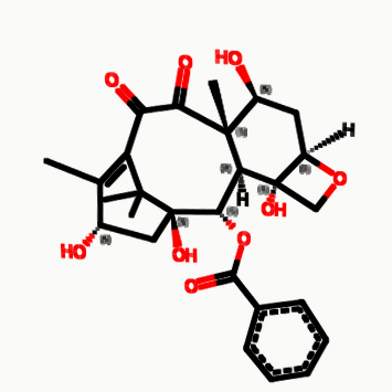 CC1=C2C(=O)C(=O)[C@@]3(C)[C@H]([C@H](OC(=O)c4ccccc4)[C@](O)(C[C@@H]1O)C2(C)C)[C@]1(O)CO[C@@H]1C[C@@H]3O